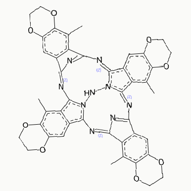 Cc1c2c(cc3c1C1=NC/3=N\c3c4c(C)c5c(cc4c4n3Nn3/c(c6cc7c(c(C)c6/c3=N/C3=NC(=N\4)/c4c3cc3c(c4C)OCCO3)OCCO7)=N\1)OCCO5)OCCO2